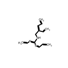 C=C/C=N\C(=N/C=C)NC/C(C=C)=C/C=C